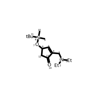 CCN(CC)CC1=CC(O[Si](C)(C)C(C)(C)C)CC1=O